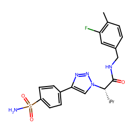 Cc1ccc(CNC(=O)[C@H](C(C)C)n2cc(-c3ccc(S(N)(=O)=O)cc3)nn2)cc1F